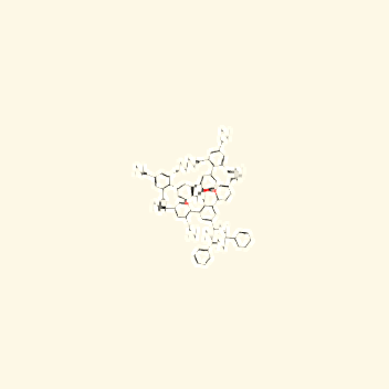 N#Cc1ccc(-c2cc(-c3nc(-c4ccccc4)nc(-c4ccccc4)n3)cc(-c3ccc(C#N)cc3C#N)c2-n2c3ccc(-c4c(C#N)cc(C#N)cc4C#N)cc3c3cc(-c4c(C#N)cc(C#N)cc4C#N)ccc32)c(C#N)c1